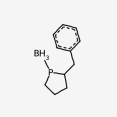 B.CP1CCCC1Cc1ccccc1